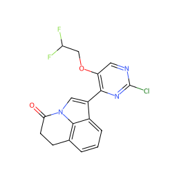 O=C1CCc2cccc3c(-c4nc(Cl)ncc4OCC(F)F)cn1c23